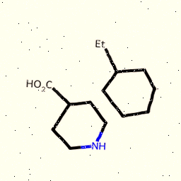 CCC1C[CH]CCC1.O=C(O)C1CCNCC1